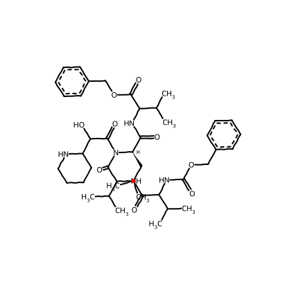 CC(C)C[C@H](C(=O)NC(C(=O)OCc1ccccc1)C(C)C)N(C(=O)C(O)C1CCCCN1)C(=O)C(NC(=O)C(NC(=O)OCc1ccccc1)C(C)C)C(C)C